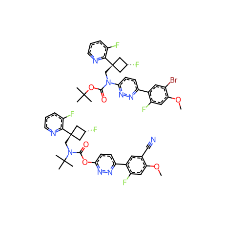 COc1cc(F)c(-c2ccc(N(C[C@]3(c4ncccc4F)C[C@@H](F)C3)C(=O)OC(C)(C)C)nn2)cc1Br.COc1cc(F)c(-c2ccc(OC(=O)N(C[C@]3(c4ncccc4F)C[C@@H](F)C3)C(C)(C)C)nn2)cc1C#N